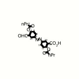 CCCC(=O)Oc1ccc(/N=N/c2ccc(OC(=O)CCC)c(C(=O)O)c2)cc1C=O